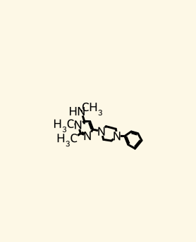 CNc1cc(N2CCN(c3ccccc3)CC2)nc(C)[n+]1C